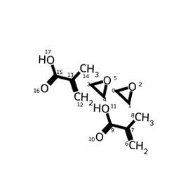 C1CO1.C1CO1.C=C(C)C(=O)O.C=C(C)C(=O)O